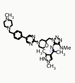 CNc1nnn(CC2CN(c3ncc(-c4ccc(CN5CCN(C)CC5)cc4)cn3)CCO2)c1/N=C(\C)C1=CN(C)NC1C